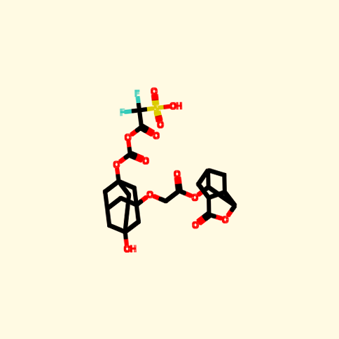 O=C(COC12CC3CC(O)(C1)CC(OC(=O)OC(=O)C(F)(F)S(=O)(=O)O)(C3)C2)OC1C2CC3C(=O)OC1C3C2